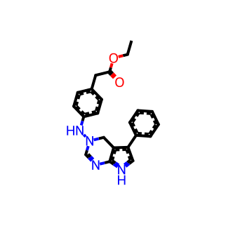 CCOC(=O)Cc1ccc(NN2C=Nc3[nH]cc(-c4ccccc4)c3C2)cc1